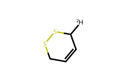 [2H]C1C=CCSS1